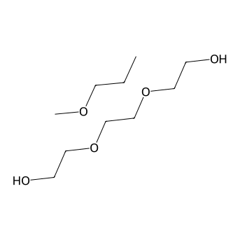 CCCOC.OCCOCCOCCO